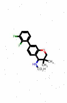 CC1(C)COc2cc(-c3cccc(F)c3F)ccc2C1NC(=O)O